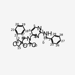 C[C@H](Nc1nccc(N2C(=O)OC3(COC3)[C@@H]2c2ccccc2)n1)c1ccccc1